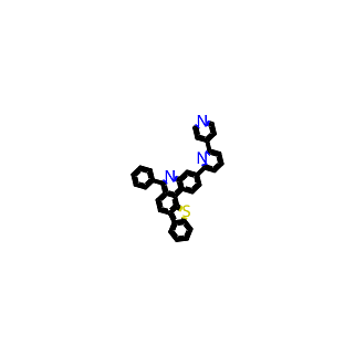 c1ccc(-c2nc3cc(-c4cccc(-c5ccncc5)n4)ccc3c3c2ccc2c4ccccc4sc23)cc1